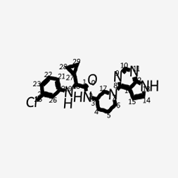 O=C(NC1CCCN(c2ncnc3[nH]ccc23)C1)C(Nc1cccc(Cl)c1)C1CC1